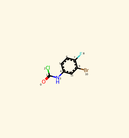 O=C(Cl)Nc1ccc(F)c(Br)c1